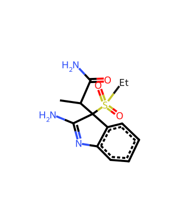 CCS(=O)(=O)C1(C(C)C(N)=O)C(N)=Nc2ccccc21